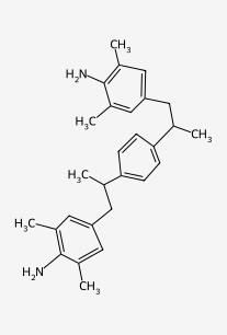 Cc1cc(CC(C)c2ccc(C(C)Cc3cc(C)c(N)c(C)c3)cc2)cc(C)c1N